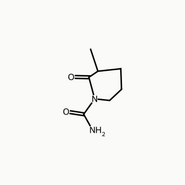 CC1CCCN(C(N)=O)C1=O